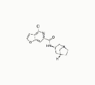 O=C(N[C@@H]1C[C@H]2CCN(C2)C1)c1cc2occc2c(Cl)n1